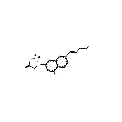 O=C(O)CC/C=C/c1ccc2c(O)cc(N3CC(=O)NS3(=O)=O)cc2c1